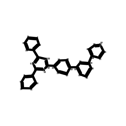 c1ccc(-c2nc(-c3ccccc3)nc(-c3ccc(-c4cccc(-c5ccncc5)c4)cc3)n2)cc1